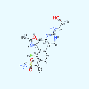 CCC(c1cccc(-c2nc(C(C)(C)C)oc2-c2ccnc(NC[C@@H](C)O)n2)c1F)S(N)(=O)=O